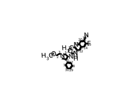 COCCN1C[C@@H](NC(=O)Nc2cc3cc(F)c(C#N)cc3nc2C)[C@H](c2ccccc2)C1